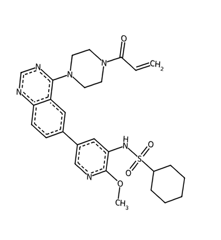 C=CC(=O)N1CCN(c2ncnc3ccc(-c4cnc(OC)c(NS(=O)(=O)C5CCCCC5)c4)cc23)CC1